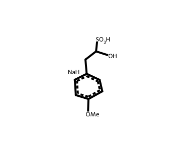 COc1ccc(CC(O)S(=O)(=O)O)cc1.[NaH]